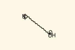 CN1C(C)(C)CC(CCCCCCCCCCCCCCCCCCCCC(=O)O)CC1(C)C